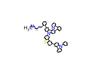 C\N=C/C=C\C=C\c1ccccc1-c1ccc2c(c1)c1cc(-c3ccccc3-c3ccccn3)ccc1n2-c1ccc2sc3ccc(-c4ccc5c(c4)c4ccccc4n5-c4ccccc4)cc3c2c1